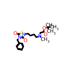 CN(CCCCn1sc(=O)n(Cc2ccccc2)c1=O)CC(=O)OC(C)(C)C